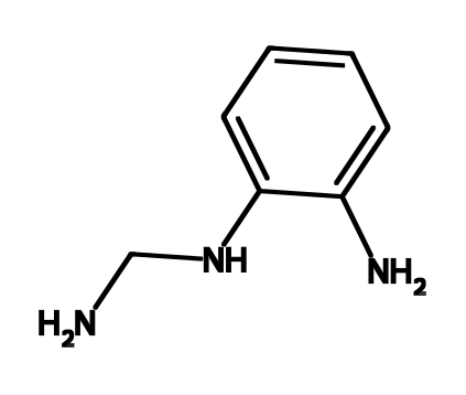 NCNc1ccccc1N